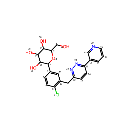 OCC1OC(c2ccc(Cl)c(Cc3ccc(-c4cccnc4)nn3)c2)C(O)C(O)C1O